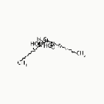 CCCCCCCCCCCSCCCN(CCCN(C)CCCN(CCCSCCCCCCCCCCC)C(=O)O)C(=O)O